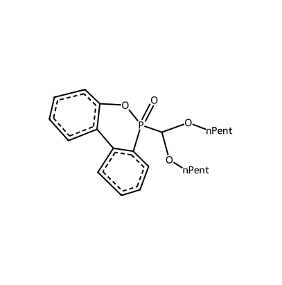 CCCCCOC(OCCCCC)P1(=O)Oc2ccccc2-c2ccccc21